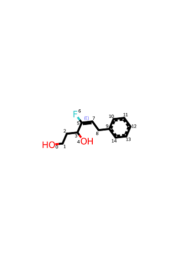 OCCC(O)/C(F)=C\Cc1ccccc1